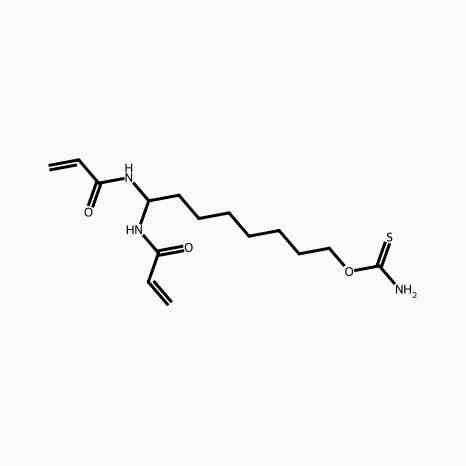 C=CC(=O)NC(CCCCCCCOC(N)=S)NC(=O)C=C